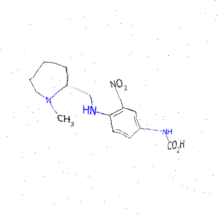 CN1CCCC[C@@H]1CNc1ccc(NC(=O)O)cc1[N+](=O)[O-]